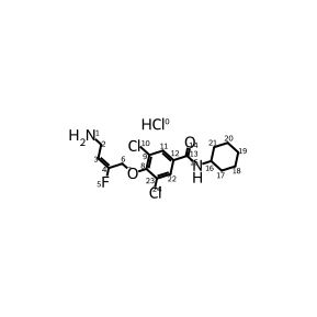 Cl.NC/C=C(/F)COc1c(Cl)cc(C(=O)NC2CCCCC2)cc1Cl